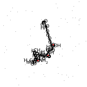 CC[C@@]1(O)C(=O)OCc2c1cc1n(c2=O)Cc2c-1nc1cc(F)c(C)c3c1c2[C@@H](N(CCC(N)=O)C(=O)CNC(=O)[C@H](Cc1ccccc1)NC(=O)CNC(=O)CNC(=O)[C@H](CC(=O)O)NC(=O)CCOCCOCCOCCOCCNC(=O)CCN1C(=O)C=CC1=O)CC3